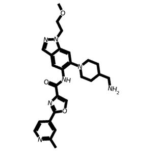 COCCn1ncc2cc(NC(=O)c3coc(-c4ccnc(C)c4)n3)c(N3CCC(CN)CC3)cc21